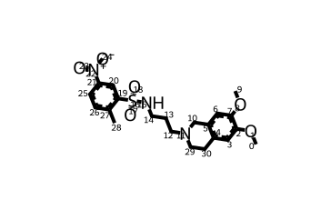 COc1cc2c(cc1OC)CN(CCCNS(=O)(=O)c1cc([N+](=O)[O-])ccc1C)CC2